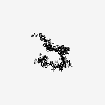 CC[C@H](C)[C@H](NC(=O)[C@H]1CCCN1C(=O)CNC(=O)CNC(=O)CCC(=O)N1Cc2ccccc2C2=C(c3ccccc31)N(C(C)C)NN2)C(=O)Nc1ccc(COC(=O)N2c3cc(OCCCOc4cc5c(cc4OC)C(=O)N4C=C(c6ccc(OC)nc6)C[C@H]4CN5)c(OC)cc3C(=O)N3CC4(CC4)C[C@H]3C2O)cc1